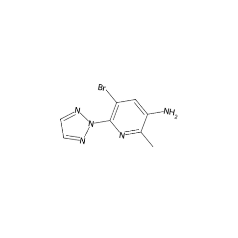 Cc1nc(-n2nccn2)c(Br)cc1N